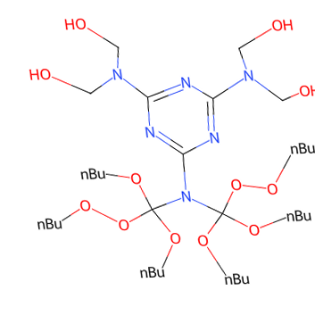 CCCCOOC(OCCCC)(OCCCC)N(c1nc(N(CO)CO)nc(N(CO)CO)n1)C(OCCCC)(OCCCC)OOCCCC